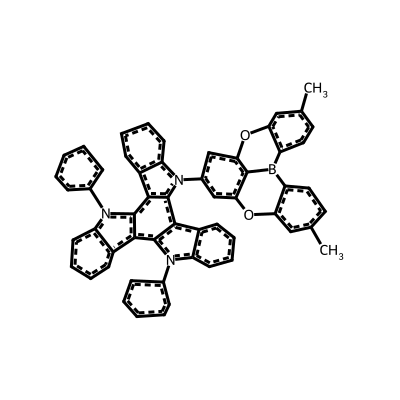 Cc1ccc2c(c1)Oc1cc(-n3c4ccccc4c4c5c(c6ccccc6n5-c5ccccc5)c5c(c6ccccc6n5-c5ccccc5)c43)cc3c1B2c1ccc(C)cc1O3